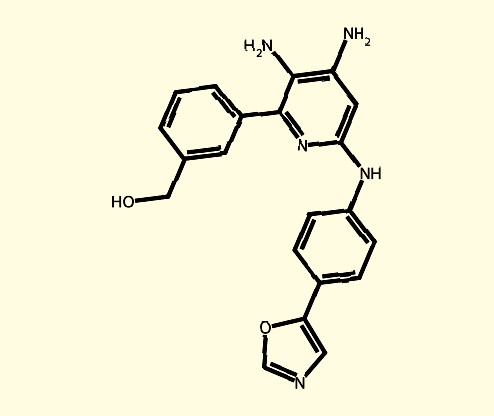 Nc1cc(Nc2ccc(-c3cnco3)cc2)nc(-c2cccc(CO)c2)c1N